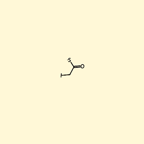 O=C([S])CI